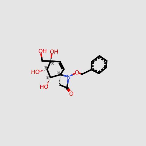 O=C1C[C@]2(C=C[C@@](O)(CO)[C@@H](O)[C@H]2O)N1OCc1ccccc1